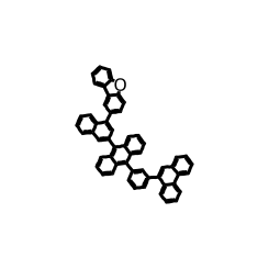 c1cc(-c2c3ccccc3c(-c3cc(-c4ccc5oc6ccccc6c5c4)c4ccccc4c3)c3ccccc23)cc(-c2cc3ccccc3c3ccccc23)c1